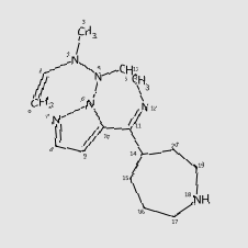 C=CN(C)N(C)n1nccc1/C(=N\C)C1CCCNCC1